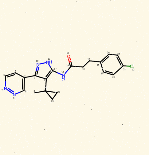 CC1(c2c(-c3ccnnc3)n[nH]c2NC(=O)CCc2ccc(Cl)cc2)CC1